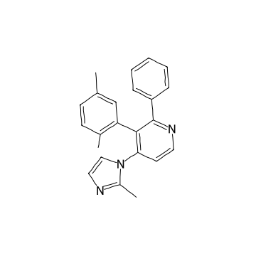 Cc1ccc(C)c(-c2c(-n3ccnc3C)ccnc2-c2ccccc2)c1